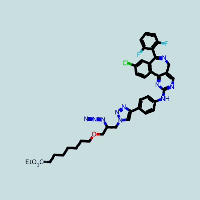 CCOC(=O)CCCCCCCOCC(Cn1cc(-c2ccc(Nc3ncc4c(n3)-c3ccc(Cl)cc3C(c3c(F)cccc3F)=NC4)cc2)nn1)N=[N+]=[N-]